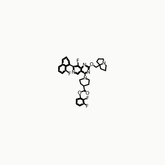 O=C(Oc1cccc(F)c1F)C1CCN(c2nc(OCC34CCCN3CCC4)nc3c(F)c(-c4cccc5cccc(F)c45)ncc23)CC1